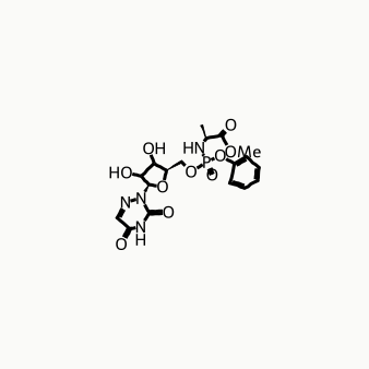 COC(=O)[C@H](C)NP(=O)(OC[C@H]1O[C@@H](n2ncc(=O)[nH]c2=O)C(O)C1O)Oc1ccccc1